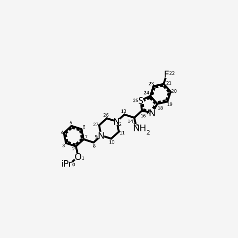 CC(C)Oc1ccccc1CN1CCN(CC(N)c2nc3ccc(F)cc3s2)CC1